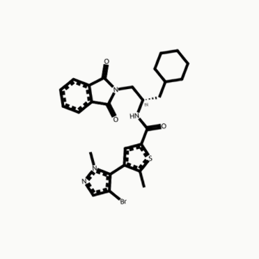 Cc1sc(C(=O)N[C@@H](CC2CCCCC2)CN2C(=O)c3ccccc3C2=O)cc1-c1c(Br)cnn1C